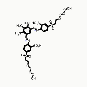 Cc1c(N)c(/N=N/c2ccc(S(=O)(=O)CCOSOOO)cc2S(=O)(=O)O)cc(/N=N/c2ccc(S(=O)(=O)CCOSOOO)cc2S(=O)(=O)O)c1N